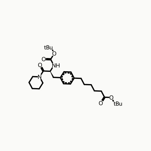 CC(C)(C)OC(=O)CCCCCc1ccc(C[C@H](NC(=O)OC(C)(C)C)C(=O)N2CCCCC2)cc1